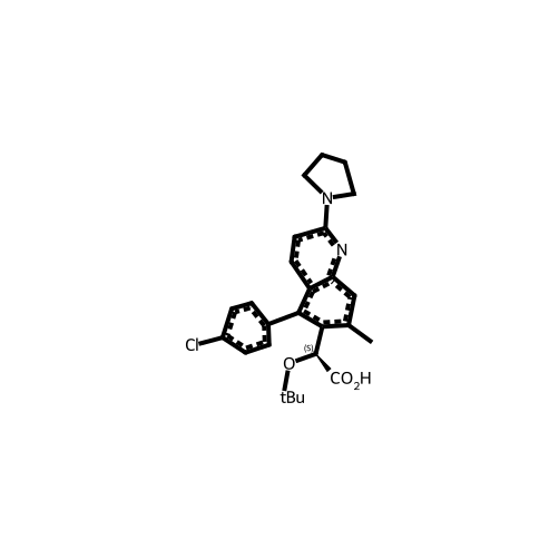 Cc1cc2nc(N3CCCC3)ccc2c(-c2ccc(Cl)cc2)c1[C@H](OC(C)(C)C)C(=O)O